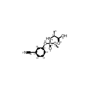 COP(=O)(N[C@@H](C)C(=O)O)Oc1cccc(C#N)c1